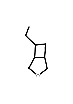 CCC1CC2COCC12